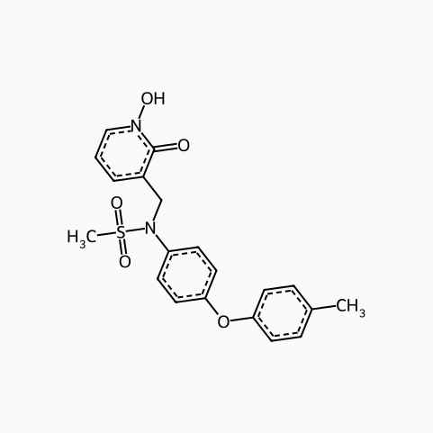 Cc1ccc(Oc2ccc(N(Cc3cccn(O)c3=O)S(C)(=O)=O)cc2)cc1